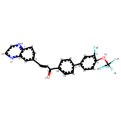 O=C(/C=C/c1ccc2nccnc2c1)c1ccc(-c2ccc(OC(F)(F)F)c(F)c2)cc1